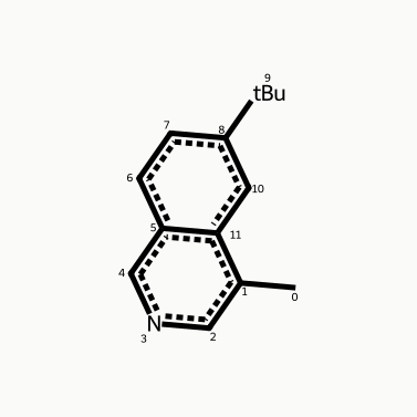 Cc1cncc2ccc(C(C)(C)C)cc12